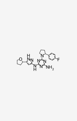 Nc1nc(Nc2cc(C3CCCO3)[nH]n2)nc(N2CCCC2c2ccc(F)cc2)n1